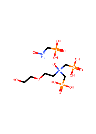 O=P(O)(O)C[N+]([O-])(CCOCCO)CP(=O)(O)O.O=P(O)(O)C[NH2+][O-]